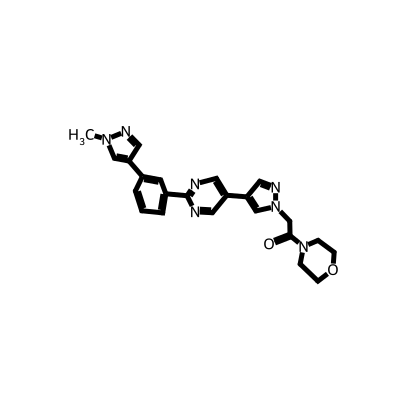 Cn1cc(-c2cccc(-c3ncc(-c4cnn(CC(=O)N5CCOCC5)c4)cn3)c2)cn1